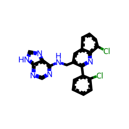 Clc1ccccc1-c1nc2c(Cl)cccc2cc1CNc1ncnc2[nH]cnc12